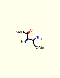 COCC(N)C(=N)C(=O)OC